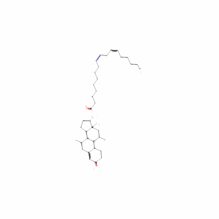 CC1CC2(C)C(OC(=O)CCCCCCC/C=C\C/C=C\CCCCI)CCC2C2C(C)CC3=CC(=O)CCC3C12